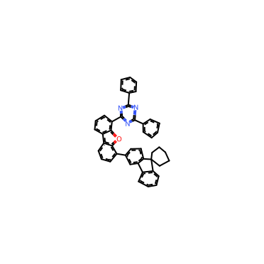 c1ccc(-c2nc(-c3ccccc3)nc(-c3cccc4c3oc3c(-c5ccc6c(c5)-c5ccccc5C65CCCCC5)cccc34)n2)cc1